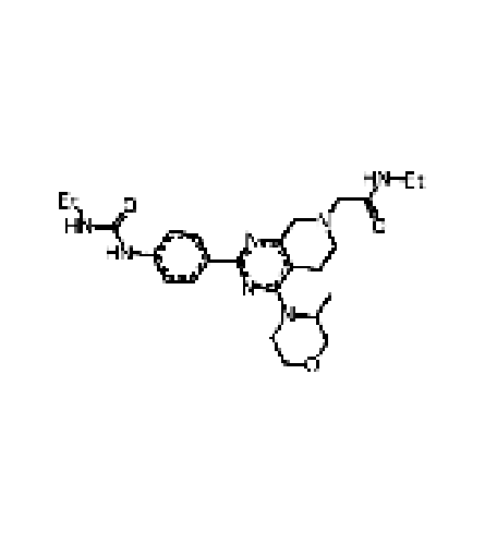 CCNC(=O)CN1CCc2c(nc(-c3ccc(NC(=O)NCC)cc3)nc2N2CCOCC2C)C1